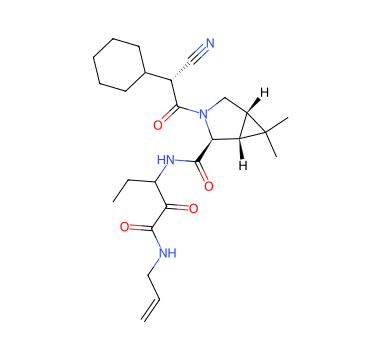 C=CCNC(=O)C(=O)C(CC)NC(=O)[C@@H]1[C@@H]2[C@H](CN1C(=O)[C@@H](C#N)C1CCCCC1)C2(C)C